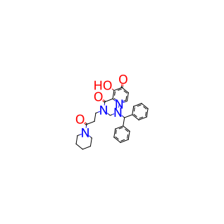 O=C(CCN1CN(C(c2ccccc2)c2ccccc2)n2ccc(=O)c(O)c2C1=O)N1CCCCC1